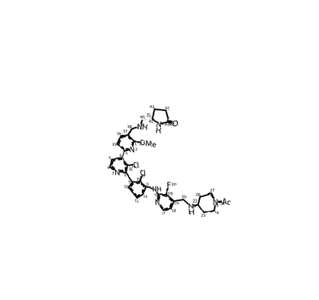 COc1nc(-c2ccnc(-c3cccc(Nc4nccc(CNC5CCN(C(C)=O)CC5)c4F)c3Cl)c2Cl)ccc1CNC[C@@H]1CCC(=O)N1